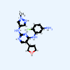 Cn1cc(Nc2ncc(C3=CCOC3)c(Nc3cc(N)ccc3F)n2)cn1